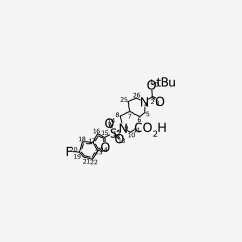 CC(C)(C)OC(=O)N1CCC(CN(CC(=O)O)S(=O)(=O)c2cc3cc(F)ccc3o2)CC1